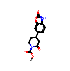 CC(C)(C)OC(=O)N1CCC(c2ccc3[nH]c(=O)oc3c2)CC1=O